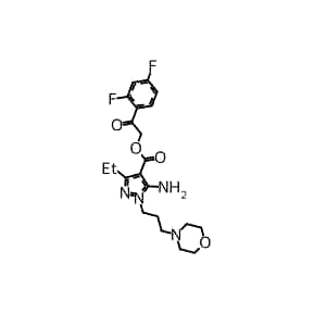 CCc1nn(CCCN2CCOCC2)c(N)c1C(=O)OCC(=O)c1ccc(F)cc1F